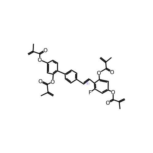 C=C(C)C(=O)Oc1ccc(-c2ccc(/C=C/c3c(F)cc(OC(=O)C(=C)C)cc3OC(=O)C(=C)C)cc2)c(OC(=O)C(=C)C)c1